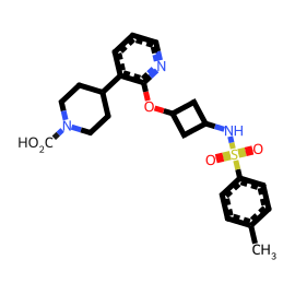 Cc1ccc(S(=O)(=O)NC2CC(Oc3ncccc3C3CCN(C(=O)O)CC3)C2)cc1